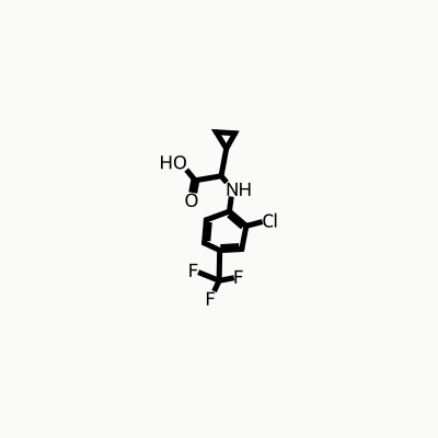 O=C(O)C(Nc1ccc(C(F)(F)F)cc1Cl)C1CC1